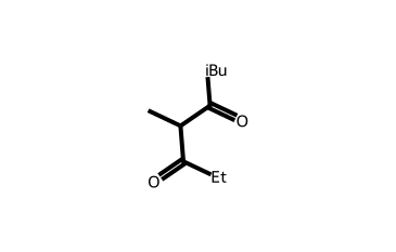 CCC(=O)C(C)C(=O)C(C)CC